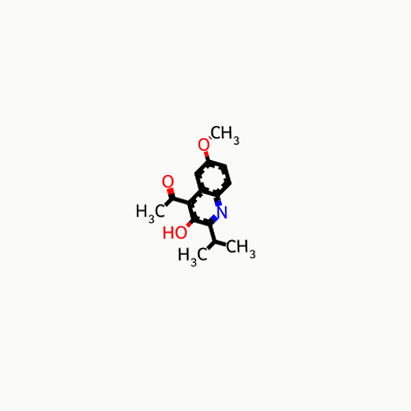 COc1ccc2nc(C(C)C)c(O)c(C(C)=O)c2c1